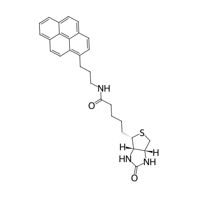 O=C(CCCC[C@@H]1SC[C@@H]2NC(=O)N[C@@H]21)NCCCc1ccc2ccc3cccc4ccc1c2c34